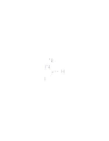 CC(C)[NH][Nb]